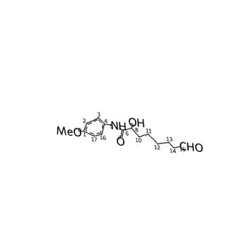 COc1ccc(NC(=O)C(O)CCCCCC=O)cc1